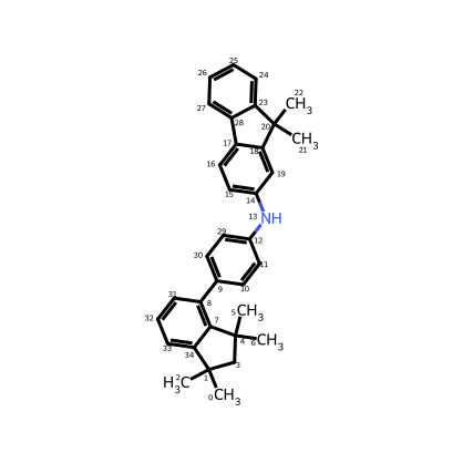 CC1(C)CC(C)(C)c2c(-c3ccc(Nc4ccc5c(c4)C(C)(C)c4ccccc4-5)cc3)cccc21